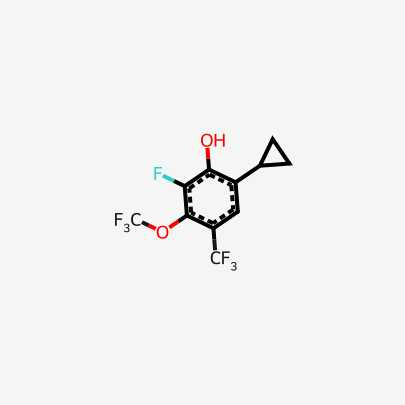 Oc1c(C2CC2)cc(C(F)(F)F)c(OC(F)(F)F)c1F